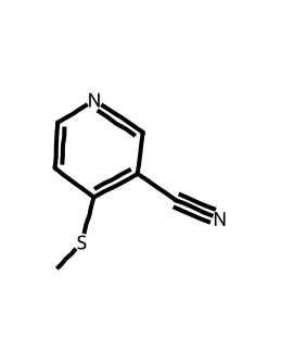 CSc1ccncc1C#N